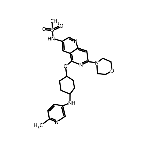 Cc1ccc(NC2CCC(Oc3nc(N4CCOCC4)cc4ncc(NS(C)(=O)=O)cc34)CC2)cn1